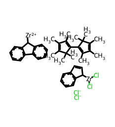 CC1=C(C)C(C)(C)C(C2=C(C)C(C)=C(C)C2(C)C)=C1C.[Cl-].[Cl-].[Cl][Zr]([Cl])[CH]1C=Cc2ccccc21.[Zr+2][CH]1c2ccccc2-c2ccccc21